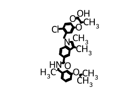 Cc1c(C)n(Cc2cc(OC(C)C(=O)O)ccc2Cl)c2ccc(C(=O)N[C@@H](C)c3cccc(OC(C)C)c3)cc12